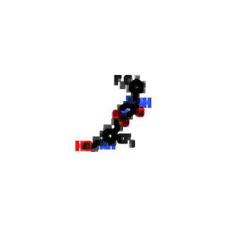 O=C1NC(c2cccc(C(F)(F)F)c2)=NC12CCN(S(=O)(=O)CCc1ccc(NCCO)cc1C(F)(F)F)CC2